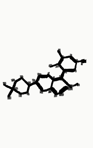 Cc1cc(C(C)(C)C)cc(-c2c3ccc(C4CCC(C)(C)CC4)cc3cc[n+]2C)c1C